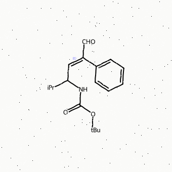 CC(C)C(/C=C(/C=O)c1ccccc1)NC(=O)OC(C)(C)C